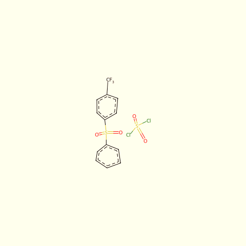 O=S(=O)(Cl)Cl.O=S(=O)(c1ccccc1)c1ccc(C(F)(F)F)cc1